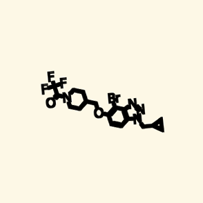 O=C(N1CCC(COc2ccc3c(nnn3CC3CC3)c2Br)CC1)C(F)(F)F